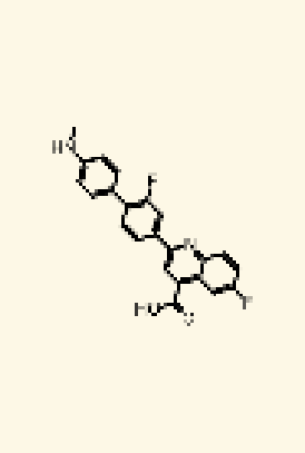 CNc1ccc(-c2ccc(-c3cc(C(=O)O)c4cc(F)ccc4n3)cc2F)cc1